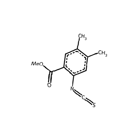 COC(=O)c1cc(C)c(C)cc1N=C=S